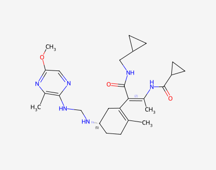 COc1cnc(NCN[C@H]2CCC(C)=C(/C(C(=O)NCC3CC3)=C(\C)NC(=O)C3CC3)C2)c(C)n1